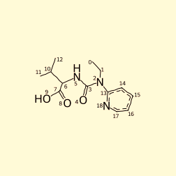 CCN(C(=O)NC(C(=O)O)C(C)C)c1ccccn1